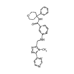 Cn1c(CNc2cccc(C(=O)NC3(c4ccccc4)CCOCC3)c2)nnc1-c1ccncn1